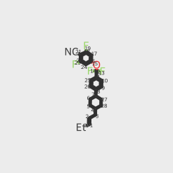 CCC=CCC1CCC(c2ccc(C(F)(F)Oc3cc(F)c(C#N)c(F)c3)cc2)CC1